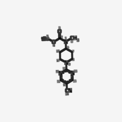 CN(C(=O)OC(C)(C)C)C1CCN(c2ncc(C#N)cn2)CC1